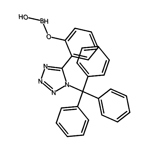 OBOc1ccccc1-c1nnnn1C(c1ccccc1)(c1ccccc1)c1ccccc1